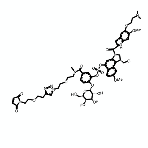 COc1ccc2c(OS(=O)(=O)Oc3cc(C(=O)N(C)CCOCCn4cc(CCOCCN5C(=O)C=CC5=O)nn4)ccc3O[C@@H]3O[C@H](CO)[C@H](O)[C@H](O)[C@H]3O)cc3c(c2c1)[C@H](CCl)CN3C(=O)c1cc2cc(OCCN(C)C)c(OC)cc2[nH]1